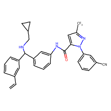 C=Cc1cccc(C(NCC2CC2)c2cccc(NC(=O)c3cc(C(F)(F)F)nn3-c3cccc(C#N)c3)c2)c1